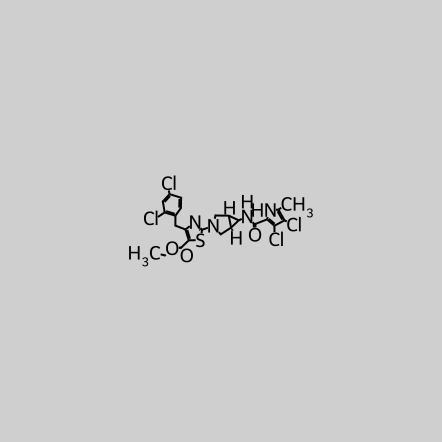 CCOC(=O)c1sc(N2C[C@@H]3C(NC(=O)c4[nH]c(C)c(Cl)c4Cl)[C@@H]3C2)nc1Cc1ccc(Cl)cc1Cl